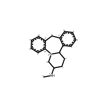 CNC1CCC2c3ccccc3Cc3ccccc3N2C1